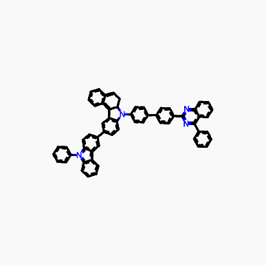 C1=c2ccccc2=C2c3cc(-c4ccc5c(c4)c4ccccc4n5-c4ccccc4)ccc3N(c3ccc(-c4ccc(-c5nc(-c6ccccc6)c6ccccc6n5)cc4)cc3)C2C1